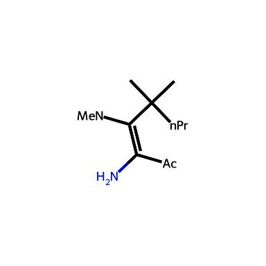 CCCC(C)(C)/C(NC)=C(/N)C(C)=O